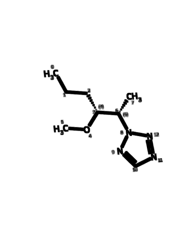 CCC[C@@H](OC)[C@H](C)n1ncnn1